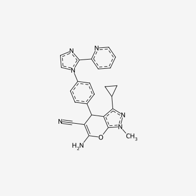 Cn1nc(C2CC2)c2c1OC(N)=C(C#N)C2c1ccc(-n2ccnc2-c2ccccn2)cc1